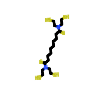 S=C(CCCCCCCCC(=S)N(CCS)CCS)N(CCS)CCS